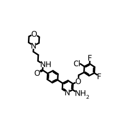 Nc1ncc(-c2ccc(C(=O)NCCCN3CCOCC3)cc2)cc1OCc1cc(F)cc(F)c1Cl